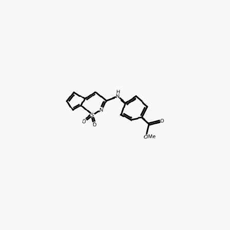 COC(=O)c1ccc(NC2=NS(=O)(=O)C3=CC=CC3=C2)cc1